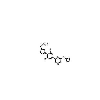 O=C(O)CC1CCN(c2c(F)cc(-c3cncc(OC4CCC4)n3)cc2F)C1